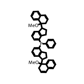 COC1(C2CCc3c2cccc3P(c2ccccc2)c2cccc3c2CCC3C2(OC)CC=Cc3ccccc32)CC=Cc2ccccc21